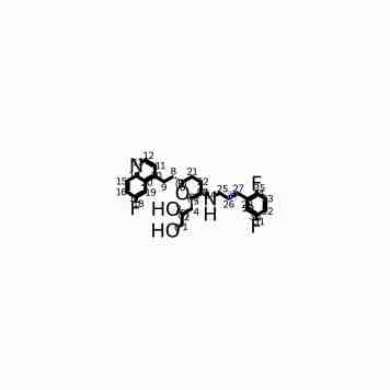 OC[C@@H](O)C[C@H]1O[C@H](CCc2ccnc3ccc(F)cc23)CC[C@H]1NC/C=C/c1cc(F)ccc1F